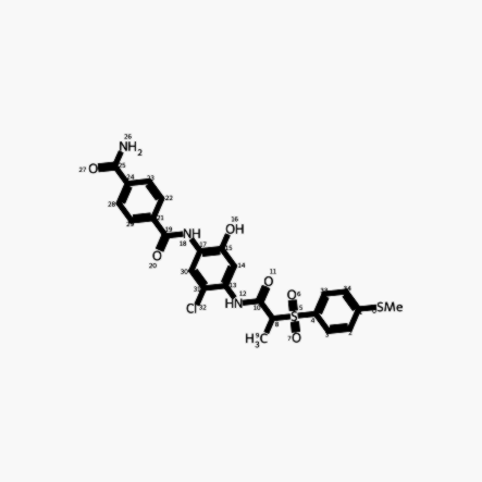 CSc1ccc(S(=O)(=O)C(C)C(=O)Nc2cc(O)c(NC(=O)c3ccc(C(N)=O)cc3)cc2Cl)cc1